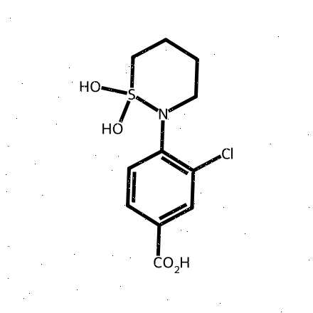 O=C(O)c1ccc(N2CCCCS2(O)O)c(Cl)c1